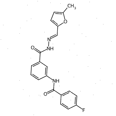 Cc1ccc(/C=N/NC(=O)c2cccc(NC(=O)c3ccc(F)cc3)c2)o1